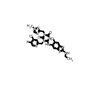 CCNc1nc2cc(Cl)c(Nc3nc(=O)n(Cc4ncn(C)n4)c(=O)n3Cc3cc(Cl)c(F)cn3)cc2s1